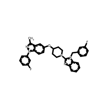 Cc1nn(-c2cccc(F)c2)c2ccc(OC3CCN(c4nc5ccccc5n4Cc4cccc(F)c4)CC3)cc12